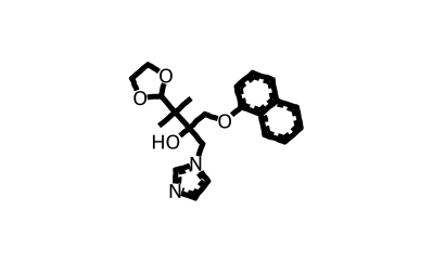 CC(C)(C1OCCO1)C(O)(COc1cccc2ccccc12)Cn1ccnc1